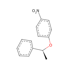 C[C@H](Oc1ccc([N+](=O)[O-])cc1)c1ccccc1